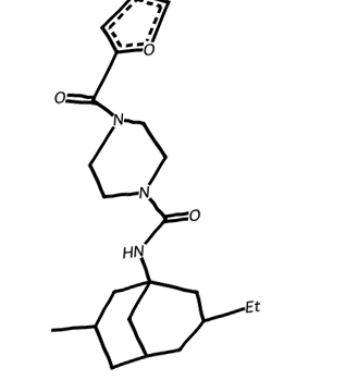 CCC1CC2CC(C)CC(NC(=O)N3CCN(C(=O)c4ccco4)CC3)(C1)C2